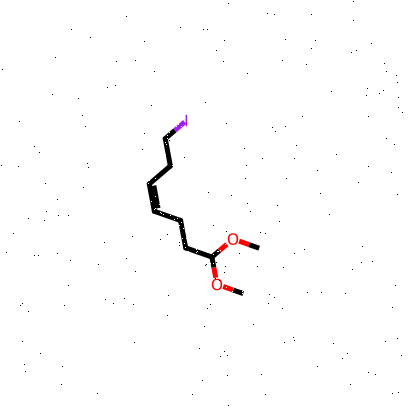 COC(CC/C=C\CCI)OC